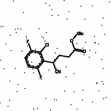 CC(C)(C)OC(=O)CCC(C#N)c1c(F)ccc(F)c1Cl